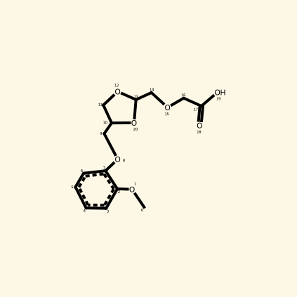 COc1ccccc1OCC1COC(COCC(=O)O)O1